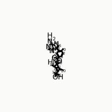 Cc1ccc(S(=O)(=O)NC2(C)C(C)C3=C(C(C)(C)O)C(C)C32)cc1-c1cnc2c(N)ncnn12